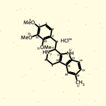 COc1ccc(CC2NCCc3c2[nH]c2ccc(C)cc32)c(OC)c1OC.Cl